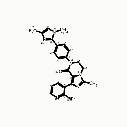 Cc1nc(-c2cccnc2C(C)C)c2n1CCN(c1ccc(-c3nc(C(F)(F)F)cn3C)cc1)C2=O